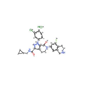 Cl.O=C(NCC1CC1)c1nn(-c2cccc(Cl)c2)c2c1CCN(c1cc(F)c3c(c1)CNCC3)C2=O